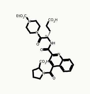 CCOC(=O)N1CCN(C(=O)[C@H](CCC(=O)O)NC(=O)c2cc(C(=O)N3CCCC3C(=O)O)c3ccccc3n2)CC1